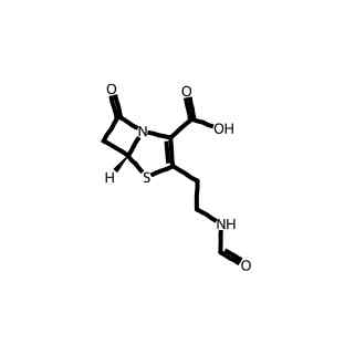 O=CNCCC1=C(C(=O)O)N2C(=O)C[C@H]2S1